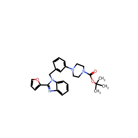 CC(C)(C)OC(=O)N1CCN(c2cccc(Cn3c(-c4ccco4)nc4ccccc43)c2)CC1